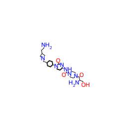 NCCC1CN(Cc2ccc(-n3ccc(NC(=O)N4CCN(C(=O)C(N)CO)CC4)nc3=O)cc2)C1